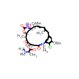 COc1cc2cc(c1Cl)N(C)C(=O)C[C@H](OC(=O)[C@H](C)N(C)C(C)(C)C)[C@]1(C)OC1[C@H](C)[C@@H]1C[C@@](O)(NC(=O)O1)[C@H](OC)/C=C/C=C(\C)C2